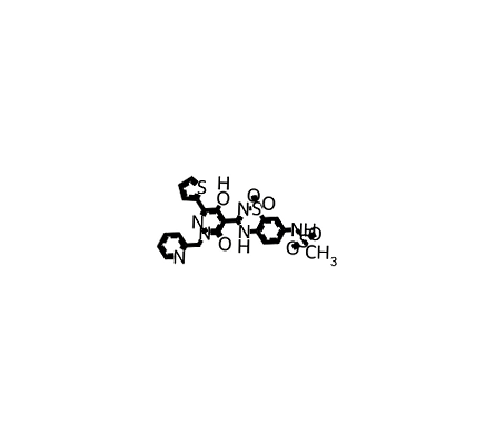 CS(=O)(=O)Nc1ccc2c(c1)S(=O)(=O)N=C(c1c(O)c(-c3cccs3)nn(Cc3ccccn3)c1=O)N2